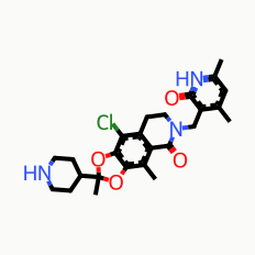 Cc1cc(C)c(CN2CCc3c(Cl)c4c(c(C)c3C2=O)OC(C)(C2CCNCC2)O4)c(=O)[nH]1